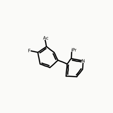 CC(=O)c1cc(-c2cccnc2C(C)C)ccc1F